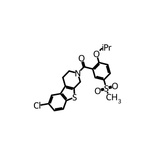 CC(C)Oc1ccc(S(C)(=O)=O)cc1C(=O)N1CCc2c(sc3ccc(Cl)cc23)C1